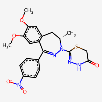 COc1cc2c(cc1OC)C(c1ccc([N+](=O)[O-])cc1)=NN(C1=NNC(=O)CS1)[C@@H](C)C2